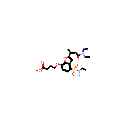 CCNS(=O)(=O)c1ccc(OCCCC(=O)O)c2oc(/C(C)=C\C(=O)N(CC)CC)cc12